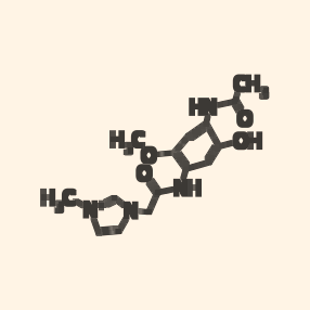 COc1cc(NC(C)=O)c(O)cc1NC(=O)Cn1cc[n+](C)c1